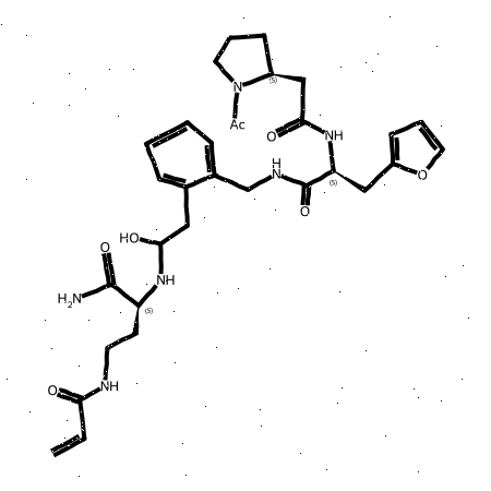 C=CC(=O)NCC[C@H](NC(O)Cc1ccccc1CNC(=O)[C@H](Cc1ccco1)NC(=O)C[C@@H]1CCCN1C(C)=O)C(N)=O